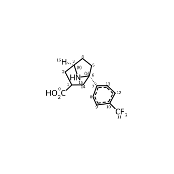 O=C(O)C1C[C@H]2CC[C@@](c3ccc(C(F)(F)F)cc3)(C1)N2